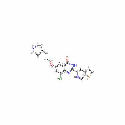 O=c1[nH]c(-c2cc3ccsc3cn2)nc2c(Cl)cc(OCCCc3ccncc3)cc12